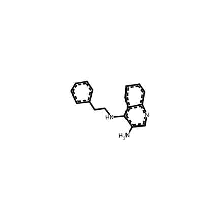 Nc1cnc2ccccc2c1NCCc1ccccc1